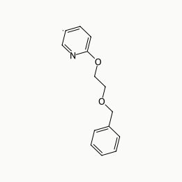 [c]1ccc(OCCOCc2ccccc2)nc1